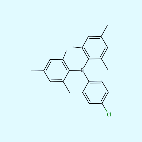 Cc1cc(C)c(B(c2ccc(Cl)cc2)c2c(C)cc(C)cc2C)c(C)c1